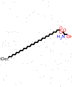 CCCCCCCCCCCCCCCCCCCCCCCCCCCCCCCCCCCCCC(=O)OC(=O)[C@@H](N)CO